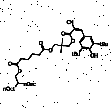 [C-]#[N+]C(=Cc1cc(C(C)(C)C)c(O)c(C(C)(C)C)c1)C(=O)OCC(C)(C)COC(=O)CCCCC(=O)OCC(CCCCCCCC)CCCCCCCCCC